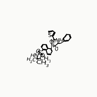 CC(C)(C)NS(=O)(=O)c1cccc2c(NC(=O)C(Cc3ccccc3)NC(=O)c3cccs3)cccc12